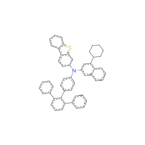 c1ccc(-c2cccc(-c3ccccc3)c2-c2ccc(N(c3cc(C4CCCCC4)c4ccccc4c3)c3ccc4c(c3)sc3ccccc34)cc2)cc1